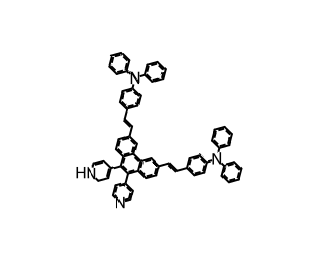 C1=CC(c2c(-c3ccncc3)c3ccc(/C=C/c4ccc(N(c5ccccc5)c5ccccc5)cc4)cc3c3cc(/C=C/c4ccc(N(c5ccccc5)c5ccccc5)cc4)ccc23)=CCN1